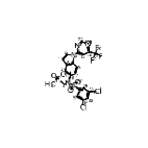 O=P(O)(O)CN(c1ccc2c(ccn2-c2cc(C(F)(F)F)ncn2)c1)S(=O)(=O)c1cc(Cl)cc(Cl)c1